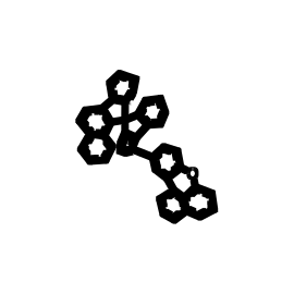 c1ccc2c(c1)-c1ccc3ccccc3c1C21c2ccccc2-c2c(-c3ccc4c(c3)-c3cccc5cccc(c35)O4)cccc21